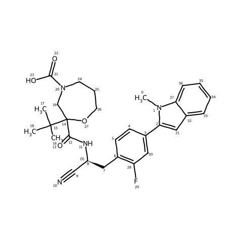 Cn1c(-c2ccc(C[C@@H](C#N)NC(=O)C3(C(C)(C)C)CN(C(=O)O)CCCO3)c(F)c2)cc2ccccc21